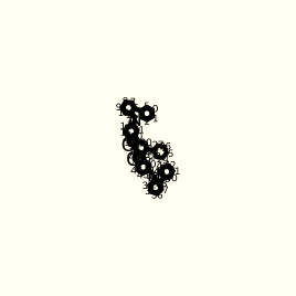 c1ccc2c(c1)c1ccccc1n2-c1ccc2oc3c(cc(C4CCCCC4)c4c5cc(-n6c7ccccc7c7ccccc76)ccc5oc34)c2c1